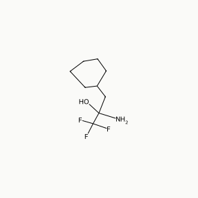 NC(O)(CC1CCCCC1)C(F)(F)F